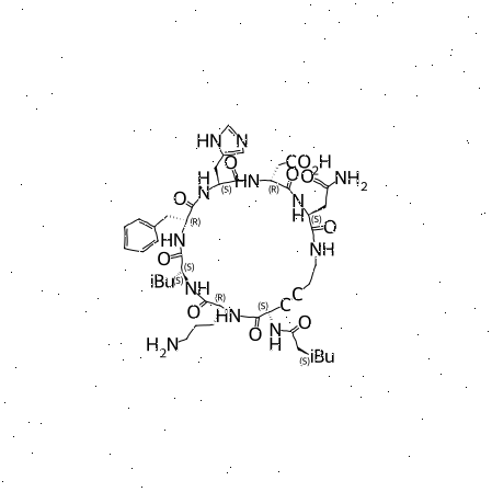 CC[C@H](C)CC(=O)N[C@H]1CCCCNC(=O)[C@H](CC(N)=O)NC(=O)[C@@H](CC(=O)O)NC(=O)[C@H](Cc2cnc[nH]2)NC(=O)[C@@H](Cc2ccccc2)NC(=O)[C@H]([C@@H](C)CC)NC(=O)[C@@H](CCCN)NC1=O